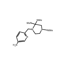 CNN1CCN(Cc2ccc(N)cn2)C(NC)(NC)C1